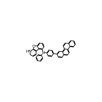 C1=Cc2c(oc3cccc(N(c4ccccc4)c4ccc(-c5ccc6ccc7c8ccccc8ccc7c6c5)cc4)c23)NC1